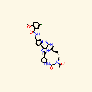 COc1ccc(F)cc1C(=O)NCc1ccc(-c2nc3n4c(cnc(N)c24)/C=C/CCN(C(C)=O)CC(=O)N[C@@H]2CC[C@@H]3C2)cc1